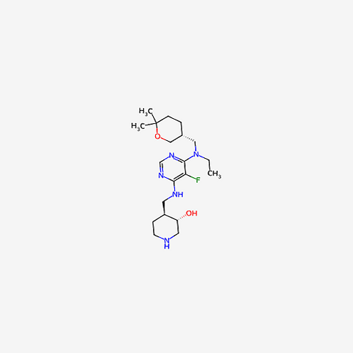 CCN(C[C@H]1CCC(C)(C)OC1)c1ncnc(NC[C@@H]2CCNC[C@H]2O)c1F